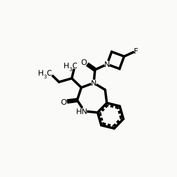 CCC(C)C1C(=O)Nc2ccccc2CN1C(=O)N1CC(F)C1